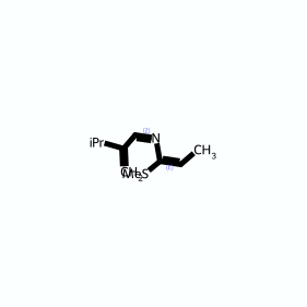 C=C(/C=N\C(=C/C)SC)C(C)C